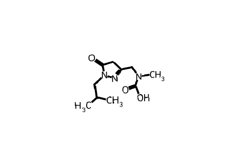 CC(C)CN1N=C(CN(C)C(=O)O)CC1=O